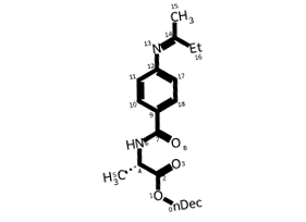 CCCCCCCCCCOC(=O)[C@H](C)NC(=O)c1ccc(/N=C(/C)CC)cc1